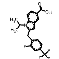 CC(C)n1c(Cc2ccc(C(F)(F)F)cc2F)cc2cc(C(=O)O)ccc21